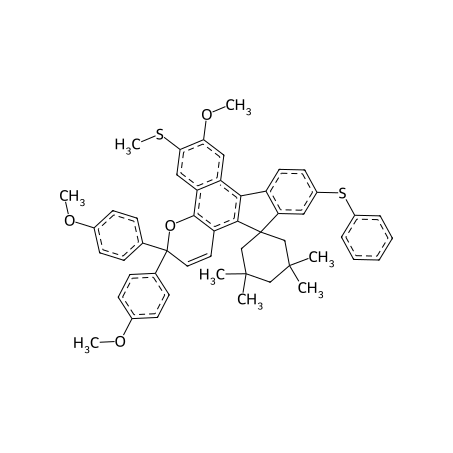 COc1ccc(C2(c3ccc(OC)cc3)C=Cc3c4c(c5cc(OC)c(SC)cc5c3O2)-c2ccc(Sc3ccccc3)cc2C42CC(C)(C)CC(C)(C)C2)cc1